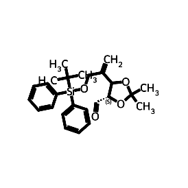 C=C(CO[Si](c1ccccc1)(c1ccccc1)C(C)(C)C)C1OC(C)(C)O[C@@H]1C=O